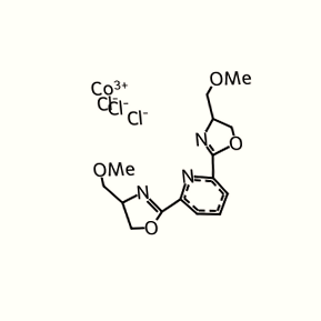 COCC1COC(c2cccc(C3=NC(COC)CO3)n2)=N1.[Cl-].[Cl-].[Cl-].[Co+3]